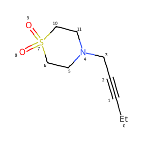 CCC#CCN1CCS(=O)(=O)CC1